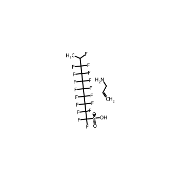 C=CCN.CC(F)C(F)(F)C(F)(F)C(F)(F)C(F)(F)C(F)(F)C(F)(F)C(F)(F)C(F)(F)S(=O)(=O)O